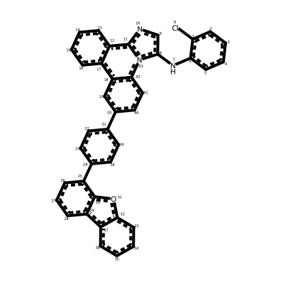 Clc1ccccc1Nc1cnc2c3ccccc3c3cc(-c4ccc(-c5cccc6c5oc5ccccc56)cc4)ccc3n12